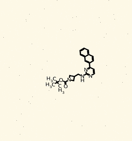 CC(C)(C)OC(=O)N1CC(CNc2nccc(-c3ccc4ccccc4c3)n2)C1